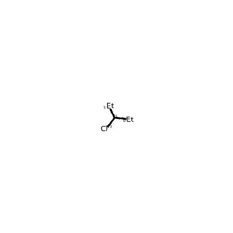 [CH2]CC(Cl)CC